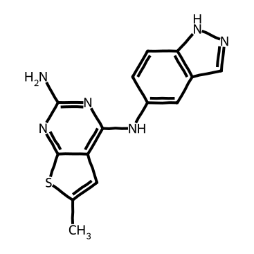 Cc1cc2c(Nc3ccc4[nH]ncc4c3)nc(N)nc2s1